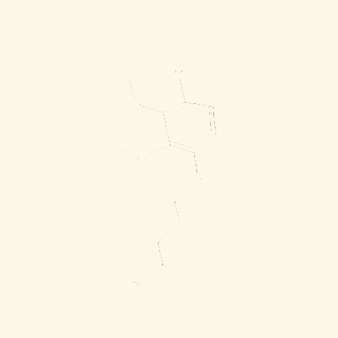 COc1ccc(OCCCCBr)c(OC)c1OC